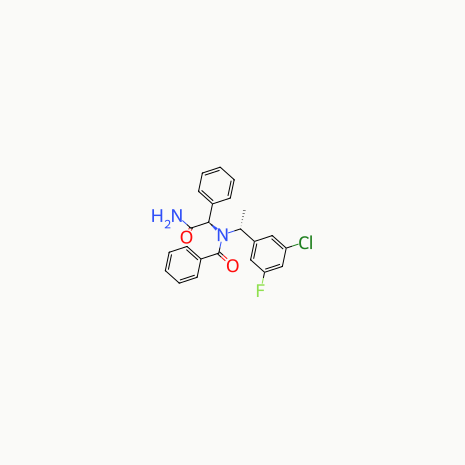 C[C@H](c1cc(F)cc(Cl)c1)N(C(=O)c1ccccc1)[C@@H](C(N)=O)c1ccccc1